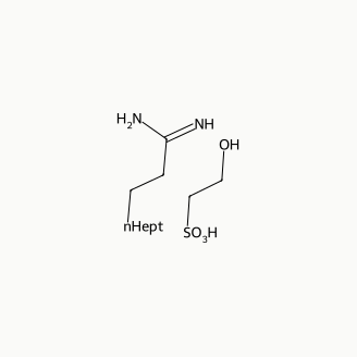 CCCCCCCCCC(=N)N.O=S(=O)(O)CCO